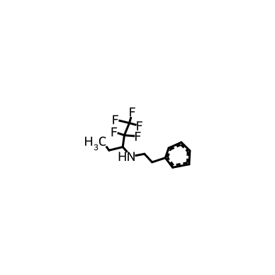 CCC(NCCc1ccccc1)C(F)(F)C(F)(F)F